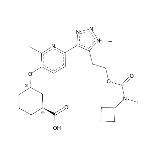 Cc1nc(-c2nnn(C)c2CCOC(=O)N(C)C2CCC2)ccc1O[C@H]1CCC[C@H](C(=O)O)C1